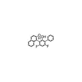 Oc1ccc2ccccc2c1-c1c(F)cc(F)c(-c2ccccc2)c1O